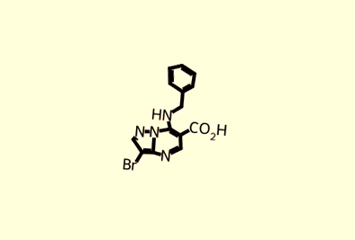 O=C(O)c1cnc2c(Br)cnn2c1NCc1ccccc1